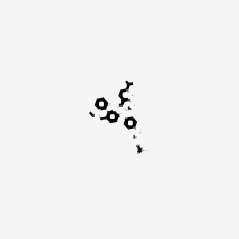 CCN(C(=O)c1ccc(Sc2ccc(NC(=O)OCC(Cl)(Cl)Cl)cc2)c(Nc2ncnc3nc(C(C)C)ccc23)c1)c1ccccc1